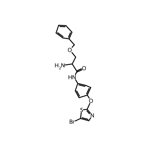 NC(COCc1ccccc1)C(=O)Nc1ccc(Oc2ncc(Br)s2)cc1